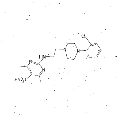 CCOC(=O)c1c(C)nc(NCCN2CCN(c3ccccc3Cl)CC2)nc1C